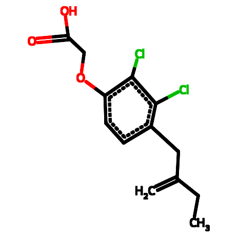 C=C(CC)Cc1ccc(OCC(=O)O)c(Cl)c1Cl